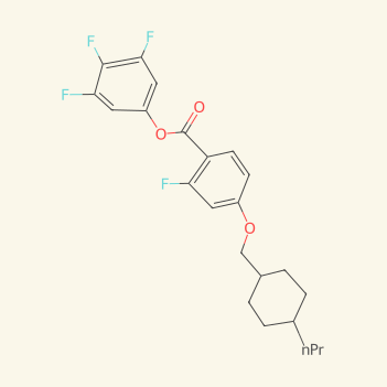 CCCC1CCC(COc2ccc(C(=O)Oc3cc(F)c(F)c(F)c3)c(F)c2)CC1